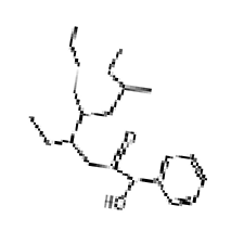 CCCCC(CC(C)CC)C(CC)CC(=O)C(O)c1ccccc1